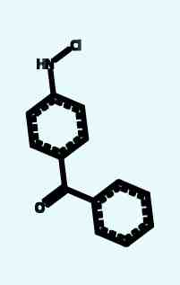 O=C(c1ccccc1)c1ccc(NCl)cc1